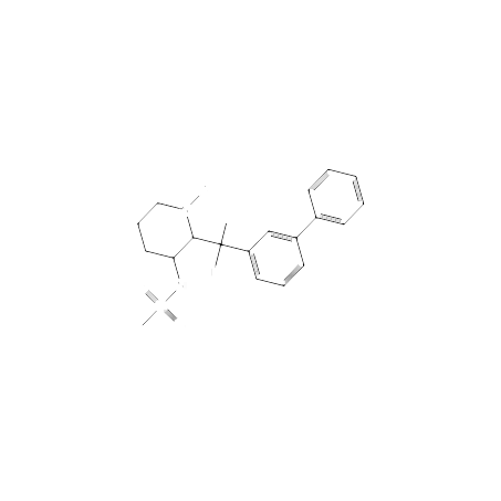 CC(=O)N1CCCC(NS(C)(=O)=O)C1C(F)(F)c1cccc(-c2ccccc2)c1